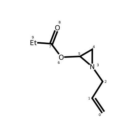 C=CCN1CC1OC(=O)CC